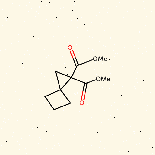 COC(=O)C1(C(=O)OC)CC12CCC2